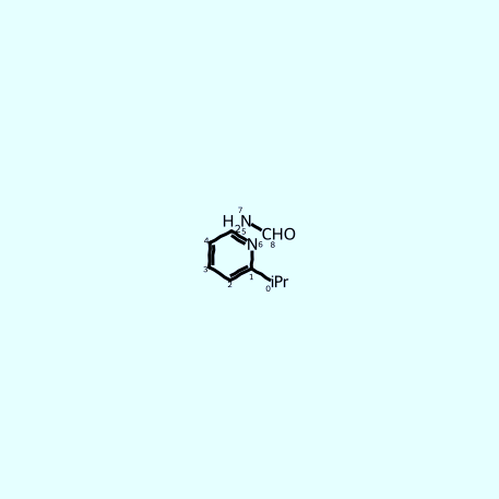 CC(C)c1ccccn1.NC=O